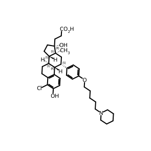 C[C@]12C[C@H](c3ccc(OCCCCCN4CCCCC4)cc3)[C@@H]3c4ccc(O)c(Cl)c4CC[C@H]3[C@@H]1CC[C@@]2(O)CCC(=O)O